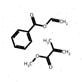 C=C(C)C(=O)OC.C=COC(=O)c1ccccc1